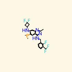 Cc1nc(NCc2cccc(C(F)F)c2F)c2cc(P(C)C)c(NC3CC(F)(F)C3)cc2n1